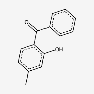 Cc1ccc(C(=O)c2ccccc2)c(O)c1